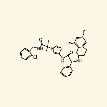 CC(C)(C(=O)NCc1ccccc1Cl)n1cnc(NC(=O)[C@@H](NC2CCc3cc(F)cc(F)c3C2)c2ccccc2)c1